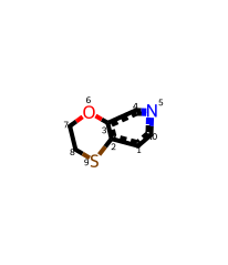 [c]1cc2c(cn1)OCCS2